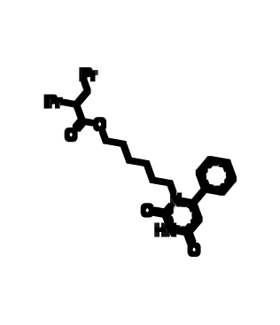 CC(C)CC(C(=O)OCCCCCCn1c(-c2ccccc2)cc(=O)[nH]c1=O)C(C)C